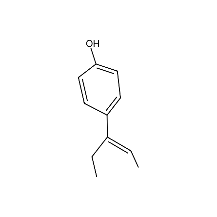 CC=C(CC)c1ccc(O)cc1